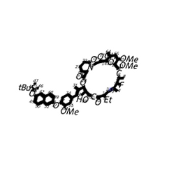 CCC1/C=C(\C)C(F)C(C)CC(OC)C2OC(O)(C(=O)C(=O)N3CCCCC3C(=O)OC(C(C)=CC3CCC(Oc4ccc5cc(O[Si](C)(C)C(C)(C)C)ccc5c4)C(OC)C3)C(C)C(O)CC1=O)C(C)CC2OC